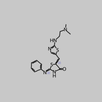 CN(C)CCNc1ncc(/C=C2\S/C(=N\c3ccccc3)NC2=O)s1